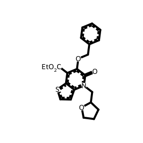 CCOC(=O)c1c(OCc2ccccc2)c(=O)n(CC2CCCO2)c2ccsc12